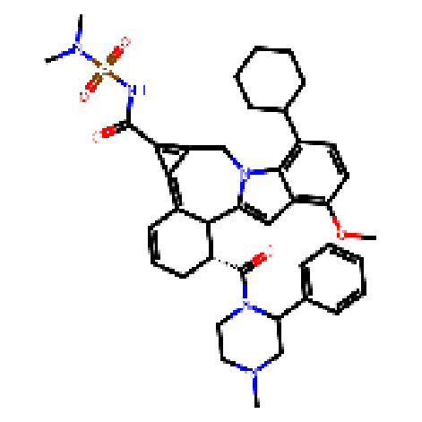 COc1ccc(C2CCCCC2)c2c1cc1n2CC2=C(C(=O)NS(=O)(=O)N(C)C)C2=C2C=CC[C@@H](C(=O)N3CCN(C)CC3c3ccccc3)C21